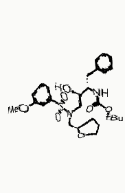 COc1cccc(S(=O)(=O)N(C[C@H]2CCCO2)C[C@@H](O)[C@H](Cc2ccccc2)NC(=O)OC(C)(C)C)c1